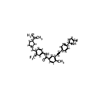 Cc1ccc(C(=O)Nc2ccc(CN3CCC(N(C)C)C3)c(C(F)(F)F)c2)cc1C#Cc1ccc(-c2ncc(F)[nH]2)nc1